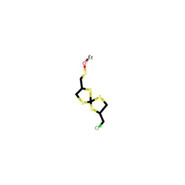 CCOSCC1CSC2(SCC(CCl)S2)S1